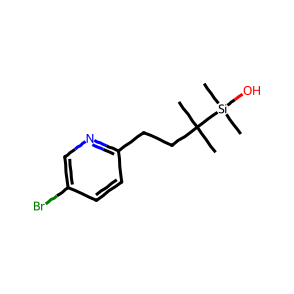 CC(C)(CCc1ccc(Br)cn1)[Si](C)(C)O